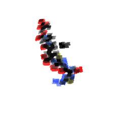 Cc1oc(=O)oc1COC(=O)N1CCC(N2CCC(=CC3=C(C(=O)[O-])N4C(=O)C(NC(=O)C(=NO)c5nsc(N)n5)C4SC3)C2=O)C1.[Na+]